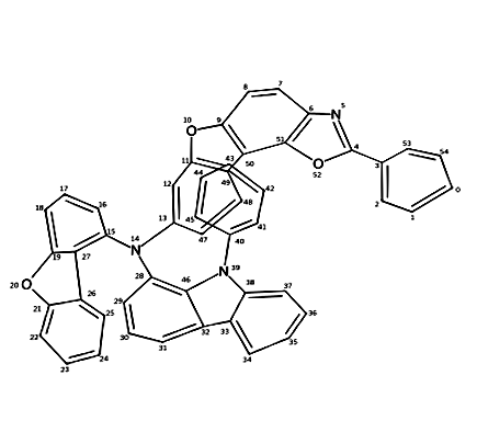 c1ccc(-c2nc3ccc4oc5cc(N(c6cccc7oc8ccccc8c67)c6cccc7c8ccccc8n(-c8ccccc8)c67)ccc5c4c3o2)cc1